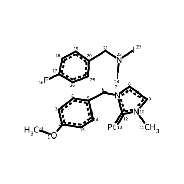 COc1ccc(Cn2ccn(C)[c]2=[Pt])cc1.Fc1ccc(CN(I)I)cc1